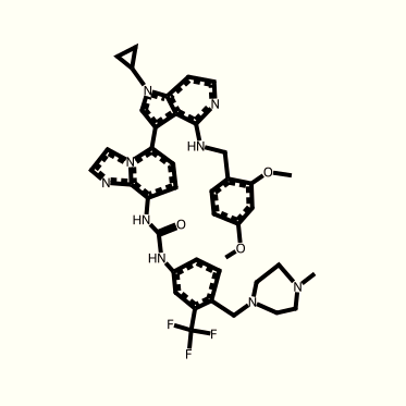 COc1ccc(CNc2nccc3c2c(-c2ccc(NC(=O)Nc4ccc(CN5CCN(C)CC5)c(C(F)(F)F)c4)c4nccn24)cn3C2CC2)c(OC)c1